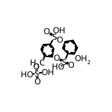 Cc1ccc(S(=O)(=O)O)cc1.O.O=S(=O)(O)O.O=S(=O)(O)c1ccccc1